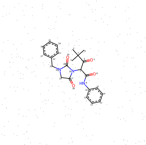 CC(C)(C)C(=O)C(C(=O)Nc1ccccc1)N1C(=O)CN(Cc2ccccc2)C1=O